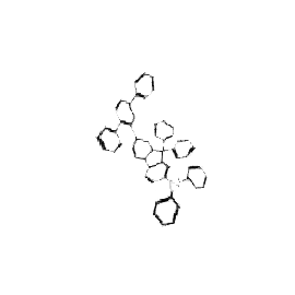 C1=CC(c2cc(-c3ccccc3)ccc2-c2ccccc2)CC2=C1c1ccc(N(c3ccccc3)c3ccccc3)cc1C2(c1ccccc1)c1ccccc1